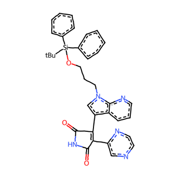 CC(C)(C)[Si](OCCCn1cc(C2=C(c3cnccn3)C(=O)NC2=O)c2cccnc21)(c1ccccc1)c1ccccc1